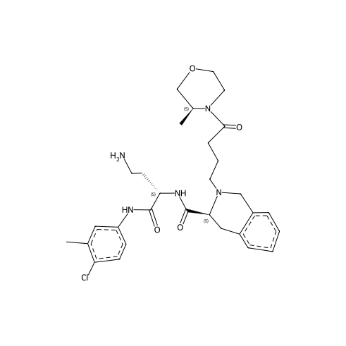 Cc1cc(NC(=O)[C@H](CCN)NC(=O)[C@@H]2Cc3ccccc3CN2CCCC(=O)N2CCOC[C@@H]2C)ccc1Cl